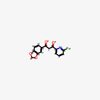 O=C(CC(=O)c1cccc(F)n1)c1ccc2c(c1)OCO2